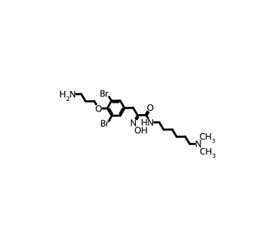 CN(C)CCCCCCNC(=O)C(Cc1cc(Br)c(OCCCN)c(Br)c1)=NO